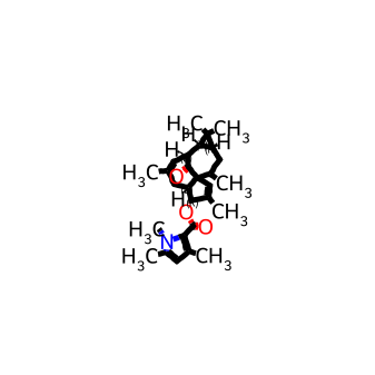 CC1=C[C@@H]2C(=O)C3(C=C(C)[C@H](OC(=O)c4c(C)cc(C)n4C)[C@H]3C1)C(C)C[C@@H]1[C@@H]2C1(C)C